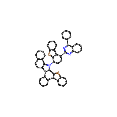 c1ccc(-c2nc(-c3ccc(-n4c5c6ccccc6ccc5c5c6ccccc6c6c7ccccc7sc6c54)c4sc5ccccc5c34)nc3ccccc23)cc1